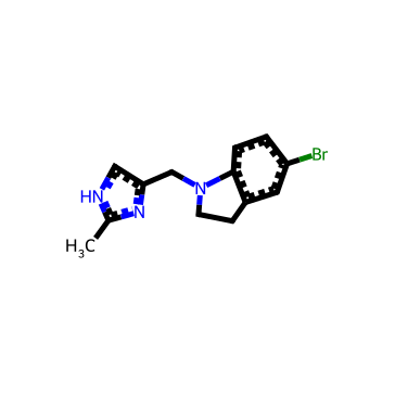 Cc1nc(CN2CCc3cc(Br)ccc32)c[nH]1